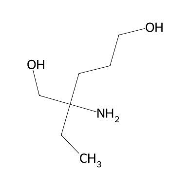 CCC(N)(CO)CCCO